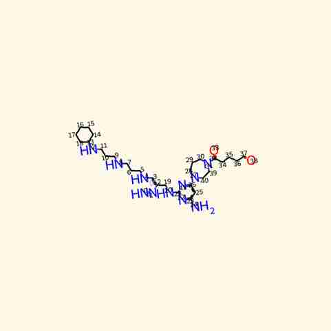 N=N/C(=C\NCCCNCCCNC1CCCCC1)CNc1nc(N)cc(N2CCCN(C(=O)CCCC=O)CC2)n1